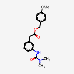 COc1ccc(COC(=O)Cc2cccc(NC(=O)N(C)C)c2)cc1